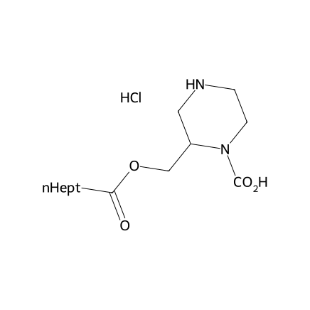 CCCCCCCC(=O)OCC1CNCCN1C(=O)O.Cl